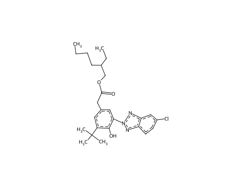 CCCCC(CC)COC(=O)Cc1cc(-n2nc3ccc(Cl)cc3n2)c(O)c(C(C)(C)C)c1